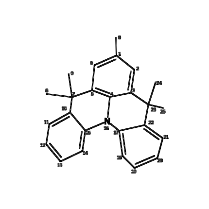 Cc1cc2c3c(c1)C(C)(C)c1ccccc1N3c1ccccc1C2(C)C